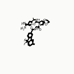 Cc1ccc2c(c1)-c1cc(C(=O)NCC(=O)N3CC4(CC3C(=O)N[C@H](C)c3cc(C(=N)N)cs3)OCCO4)ccc1C2(F)F